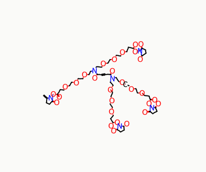 C=C1CCC(=O)N1OC(=O)CCOCCOCCOCCN(CCOCCOCCOCCC(=O)ON1C(=O)CCC1=O)C(=O)C#CC(=O)N(CCOCCOCCOCCC(=O)ON1C(=O)CCC1=O)CCOCCOCCOCCC(=O)ON1C(=O)CCC1=O